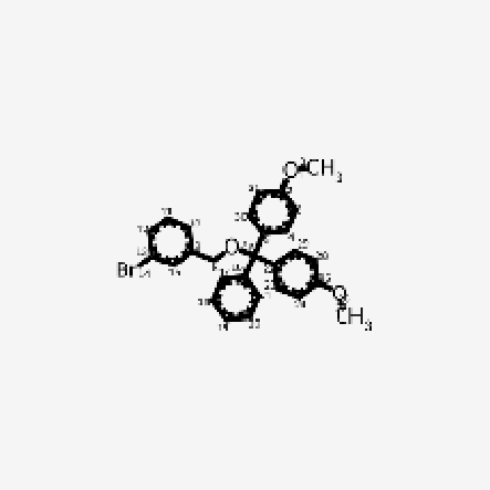 COc1ccc(C(OCc2cccc(Br)c2)(c2ccccc2)c2ccc(OC)cc2)cc1